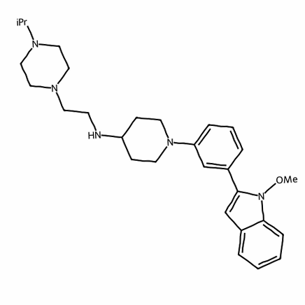 COn1c(-c2cccc(N3CCC(NCCN4CCN(C(C)C)CC4)CC3)c2)cc2ccccc21